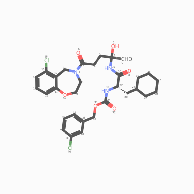 O=CC(O)(CCC(=O)N1CCOc2cccc(Cl)c2C1)NC(=O)[C@H](CC1CCCCC1)NC(=O)OCc1cccc(Cl)c1